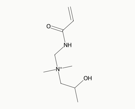 C=CC(=O)NC[N+](C)(C)CC(C)O